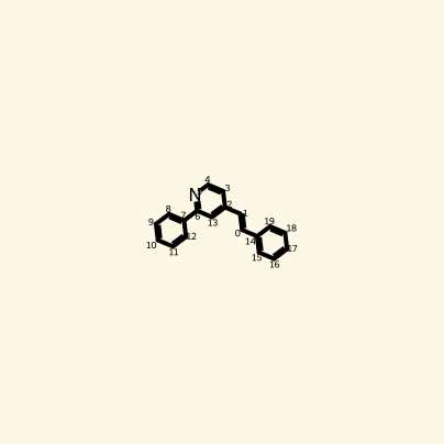 C(=Cc1ccnc(-c2ccccc2)c1)c1ccccc1